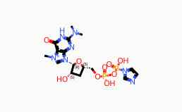 CN(C)c1nc2c(c(=O)[nH]1)[n+](C)cn2[C@@H]1O[C@H](COP(=O)(O)OP(=O)(O)n2ccnc2)C[C@@H]1O